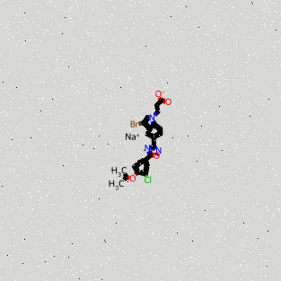 CC(C)Oc1ccc(-c2nc(-c3ccc4c(c3)c(Br)cn4CCC(=O)[O-])no2)cc1Cl.[Na+]